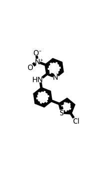 O=[N+]([O-])c1cccnc1Nc1cccc(-c2ccc(Cl)s2)c1